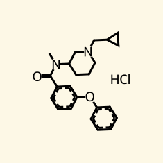 CN(C(=O)c1cccc(Oc2ccccc2)c1)C1CCCN(CC2CC2)C1.Cl